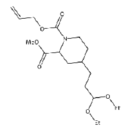 C=CCOC(=O)N1CCC(CCC(OCC)OCC)CC1C(=O)OC